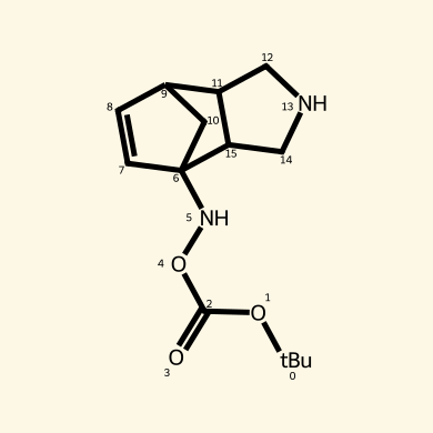 CC(C)(C)OC(=O)ONC12C=CC(C1)C1CNCC12